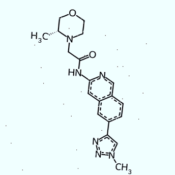 C[C@@H]1COCCN1CC(=O)Nc1cc2cc(-c3cn(C)nn3)ccc2cn1